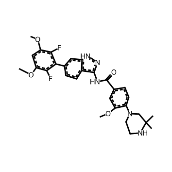 COc1cc(C(=O)Nc2n[nH]c3cc(-c4c(F)c(OC)cc(OC)c4F)ccc23)ccc1N1CCNC(C)(C)C1